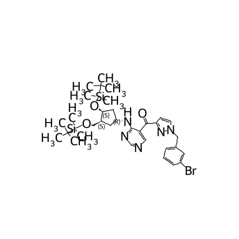 CC(C)(C)[Si](C)(C)OC[C@@H]1C[C@@H](Nc2ncncc2C(=O)c2ccn(Cc3cccc(Br)c3)n2)C[C@@H]1O[Si](C)(C)C(C)(C)C